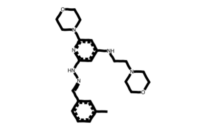 Cc1cccc(C=NNc2cc(NCCN3CCOCC3)cc(N3CCOCC3)n2)c1